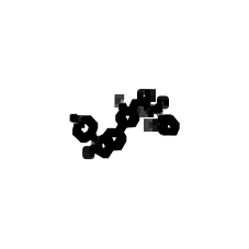 CN1CCC(N2C(=O)Cc3ccc(-c4ccc(C[C@@H](C#N)NC(=O)[C@H]5NC6CCC5C6)c(F)c4)cc32)CC1